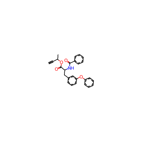 C#CC(C)OC(=O)C(Cc1cccc(Oc2ccccc2)c1)NC(=O)c1ccccc1